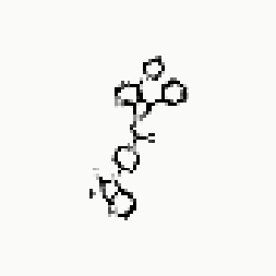 O=C(Cn1cc(-c2ccccc2)c2c(N3CCCC3)ncnc21)N1CCC(n2c(=O)[nH]c3ncccc32)CC1